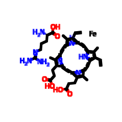 C=Cc1c(C)c2cc3[nH]c(cc4nc(cc5nc(cc1[nH]2)C(C)=C5CCC(=O)O)C(CCC(=O)O)=C4C)c(C)c3C=C.NC(N)=NCCC[C@H](N)C(=O)O.[Fe]